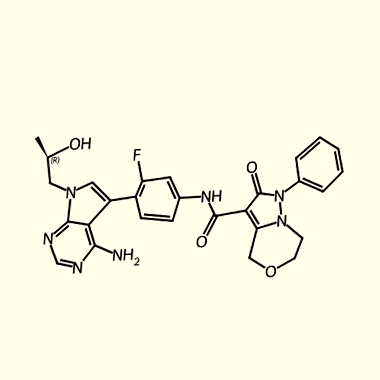 C[C@@H](O)Cn1cc(-c2ccc(NC(=O)c3c4n(n(-c5ccccc5)c3=O)CCOC4)cc2F)c2c(N)ncnc21